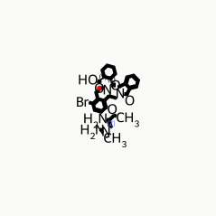 CC(Oc1ccc(Br)c2c1C(CN1Cc3ccccc3C1=O)N(C(=O)[C@@H]1CCCC[C@@H]1C(=O)O)CC2)/C(N)=C/N(C)N